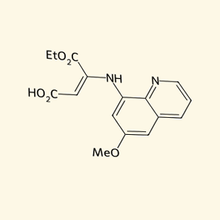 CCOC(=O)C(=CC(=O)O)Nc1cc(OC)cc2cccnc12